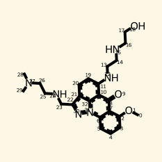 COc1cccc2c1c(=O)c1c(NCCNCCO)ccc3c(CNCCN(C)C)nn2c31